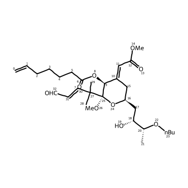 C=CCCCCC(=O)O[C@H]1/C(=C/C(=O)OC)C[C@@H](C[C@@H](O)[C@@H](C)OCCCC)O[C@@]1(OC)C(C)(C)/C=C/C=O